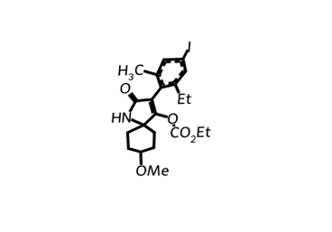 CCOC(=O)OC1=C(c2c(C)cc(I)cc2CC)C(=O)NC12CCC(OC)CC2